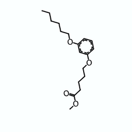 CCCCCCOc1cccc(OCCCCC(=O)OC)c1